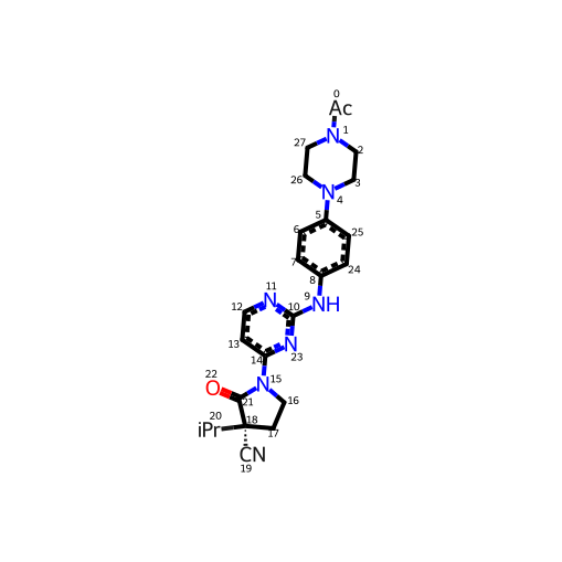 CC(=O)N1CCN(c2ccc(Nc3nccc(N4CC[C@@](C#N)(C(C)C)C4=O)n3)cc2)CC1